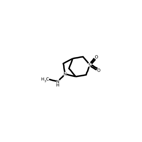 CNN1CC2CC1CS(=O)(=O)C2